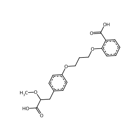 COC(Cc1ccc(OCCCOc2ccccc2C(=O)O)cc1)C(=O)O